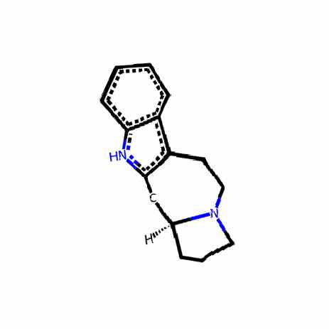 c1ccc2c3c([nH]c2c1)C[C@@H]1CCCN1CC3